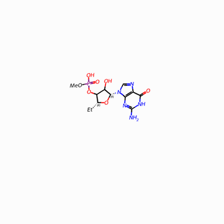 CC[C@H]1O[C@@H](n2cnc3c(=O)[nH]c(N)nc32)C(O)C1OP(=O)(O)OC